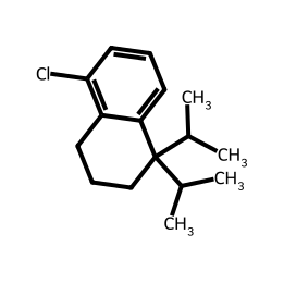 CC(C)C1(C(C)C)CCCc2c(Cl)cccc21